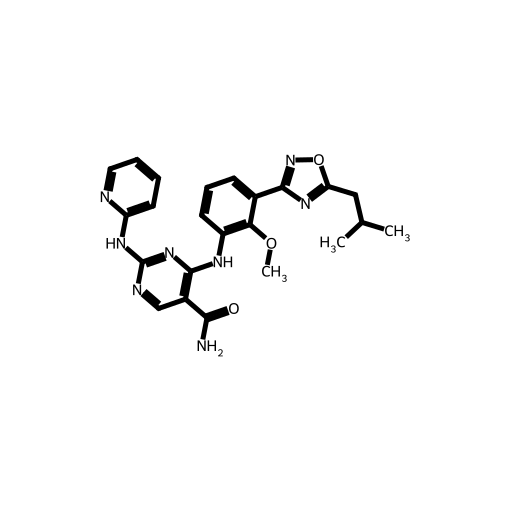 COc1c(Nc2nc(Nc3ccccn3)ncc2C(N)=O)cccc1-c1noc(CC(C)C)n1